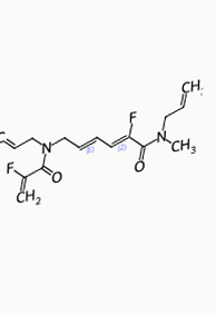 C=CCN(C)C(=O)/C(F)=C/C=C/CN(CC=C)C(=O)C(=C)F